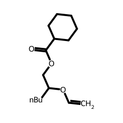 C=COC(CCCC)COC(=O)C1CCCCC1